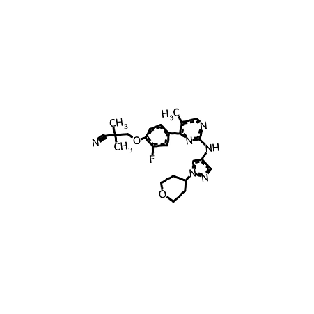 Cc1cnc(Nc2cnn(C3CCOCC3)c2)nc1-c1ccc(OCC(C)(C)C#N)c(F)c1